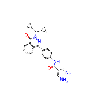 N=C/C(=C\N)C(=O)Nc1ccc(-c2nn(C(C3CC3)C3CC3)c(=O)c3ccccc23)cc1